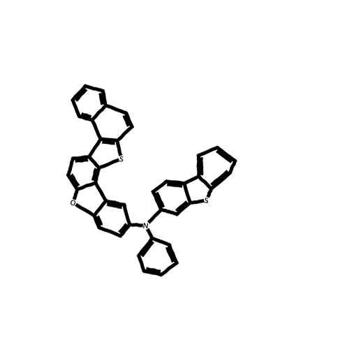 c1ccc(N(c2ccc3c(c2)sc2ccccc23)c2ccc3oc4ccc5c(sc6ccc7ccccc7c65)c4c3c2)cc1